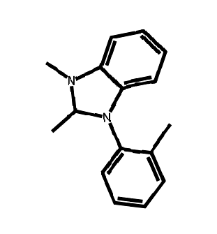 Cc1ccccc1N1c2ccccc2N(C)C1C